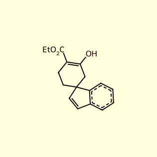 CCOC(=O)C1=C(O)CC2(C=Cc3ccccc32)CC1